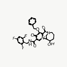 O=C(NCc1c(F)cc(F)cc1F)c1cn2c(c(OCc3ccccc3)c1=O)C(=O)N1CCCC(O)C2C1